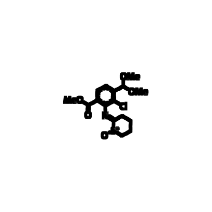 COC(=O)c1ccc(C(OC)OC)c(Cl)c1N=C1CCCC[S+]1[O-]